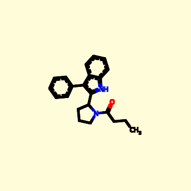 CCCC(=O)N1CCCC1c1[nH]c2ccccc2c1-c1ccccc1